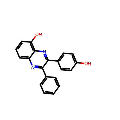 Oc1ccc(-c2nc3c(O)cccc3nc2-c2ccccc2)cc1